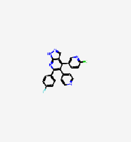 Fc1ccc(-c2nc3[nH]ncc3c(-c3ccc(Cl)nc3)c2-c2ccncc2)cc1